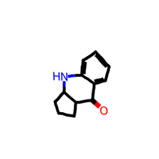 O=C1c2ccccc2NC2CCCC12